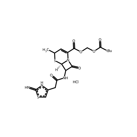 CC1C=C(C(=O)OCOC(=O)C(C)(C)C)N2C(=O)C(NC(=O)Cc3csc(=N)[nH]3)[C@H]2S1.Cl